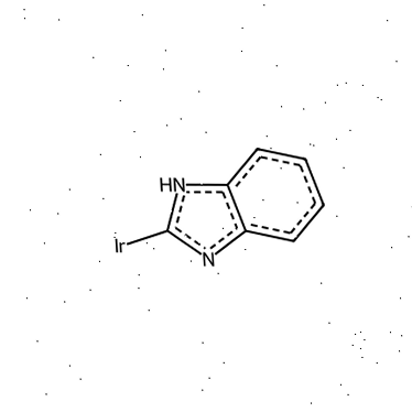 [Ir][c]1nc2ccccc2[nH]1